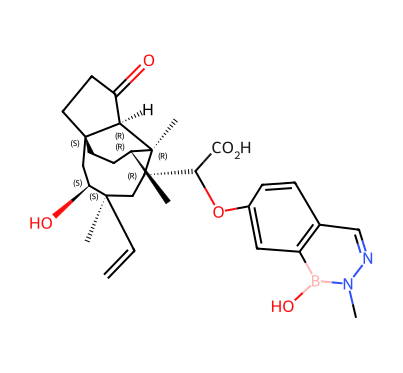 C=C[C@]1(C)C[C@@H](C(Oc2ccc3c(c2)B(O)N(C)N=C3)C(=O)O)[C@@]2(C)[C@H](C)CC[C@]3(CCC(=O)[C@H]32)C[C@@H]1O